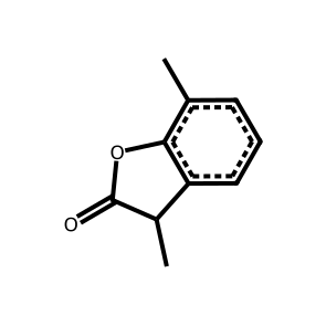 Cc1cccc2c1OC(=O)C2C